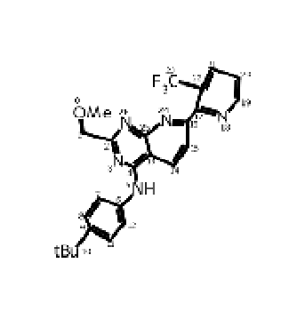 COCc1nc(Nc2ccc(C(C)(C)C)cc2)c2ccc(-c3ncccc3C(F)(F)F)nc2n1